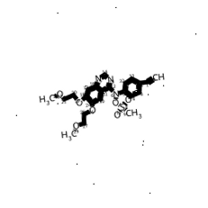 C#Cc1ccc(N(OS(C)(=O)=O)c2ncnc3cc(OCCOC)c(OCCOC)cc23)cc1